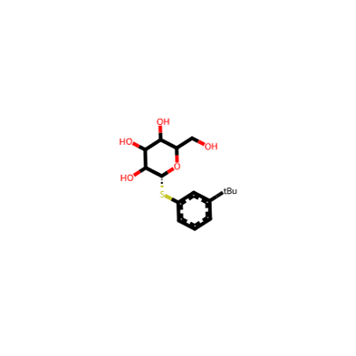 CC(C)(C)c1cccc(S[C@H]2OC(CO)C(O)C(O)C2O)c1